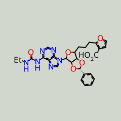 CCNC(=O)Nc1ncnc2c1ncn2C1OC(CCCc2occc2C(=O)O)C2O[C@H](c3ccccc3)OC21